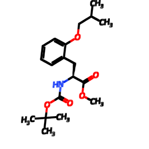 COC(=O)[C@H](Cc1ccccc1OCC(C)C)NC(=O)OC(C)(C)C